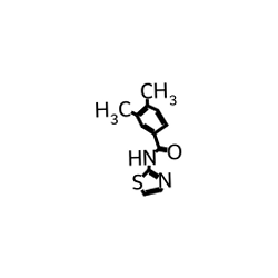 Cc1ccc(C(=O)Nc2nccs2)cc1C